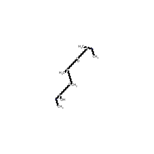 C=C(CCCCCCCCCN(CCC)CCCCCCCCCC(=O)OCCCCCCCCCN(CCC)CC/C=C\CCCCC)OCCCCCCCCCCN(CCO)CC/C=C\CCCCC